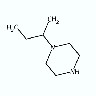 [CH2]C(CC)N1CCNCC1